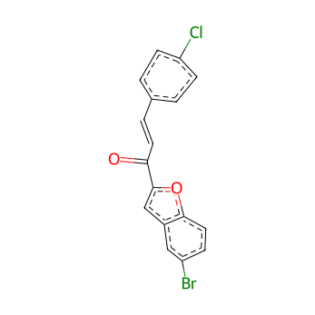 O=C(C=Cc1ccc(Cl)cc1)c1cc2cc(Br)ccc2o1